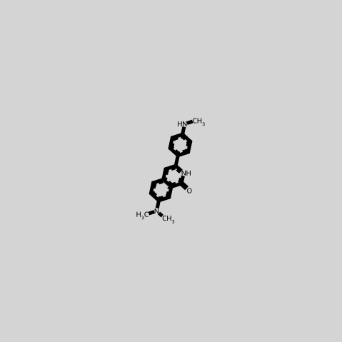 CNc1ccc(-c2cc3ccc(N(C)C)cc3c(=O)[nH]2)cc1